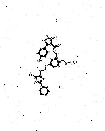 Cc1oc(-c2ccccc2)nc1CCOc1ccc(CCC(=O)O)c(CNC(=O)c2c(-c3ccc(Cl)cc3)noc2C)c1